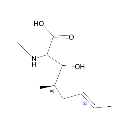 C/C=C/C[C@@H](C)C(O)C(NC)C(=O)O